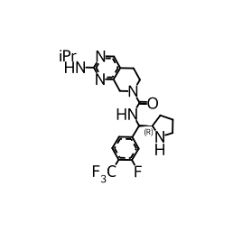 CC(C)Nc1ncc2c(n1)CN(C(=O)NC(c1ccc(C(F)(F)F)c(F)c1)[C@H]1CCCN1)CC2